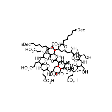 CCCCCCCCCCCCCCCC(=O)OCC(CSCC(N)C(=O)N[C@@H](CO)C(=O)NC(CO)C(=O)N[C@@H](CCC(=O)O)C(=O)NC(CCC(=O)O)C(=O)N[C@@H](CCC(=O)O)C(=O)NC(CCC(=O)O)C(=O)N[C@@H](CCC(=O)O)C(=O)NC(CCC(=O)O)C(=O)N[C@@H](CCC(=O)O)C(=O)N[C@H](C=O)CCC(=O)O)OC(=O)CCCCCCCCCCCCCCC